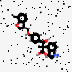 Cc1cccc2c1OC[C@H]2COc1ccc(C(=O)C(C)(C(=O)O)c2cccc3[nH]ccc23)cc1